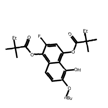 CCCCOc1ccc2c(OC(=O)C(C)(C)CC)c(F)cc(OC(=O)C(C)(C)CC)c2c1O